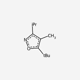 Cc1c(C(C)C)noc1C(C)(C)C